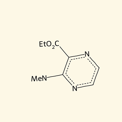 CCOC(=O)c1nccnc1NC